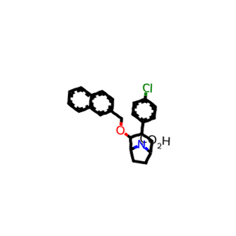 O=C(O)N1C2CCC1C(OCc1ccc3ccccc3c1)C(c1ccc(Cl)cc1)C2